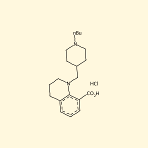 CCCCN1CCC(CN2CCCc3cccc(C(=O)O)c32)CC1.Cl